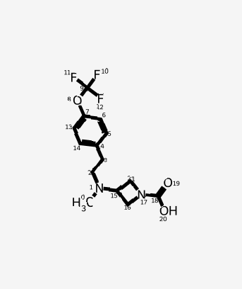 CN(CCc1ccc(OC(F)(F)F)cc1)C1CN(C(=O)O)C1